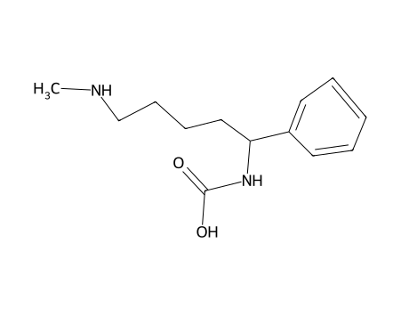 CNCCCCC(NC(=O)O)c1ccccc1